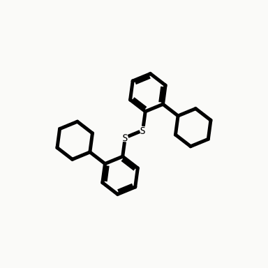 c1ccc(C2CCCCC2)c(SSc2ccccc2C2CCCCC2)c1